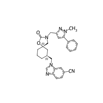 Cn1nc(CN2C[C@@]3(CCC[C@H](Cn4cnc5ccc(C#N)cc54)C3)OC2=O)cc1-c1ccccc1